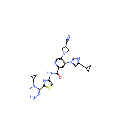 CN(C(=NN)c1nc(NC(=O)c2cc(-n3cnc(C4CC4)c3)c(N3CC(C#N)C3)cn2)cs1)C1CC1